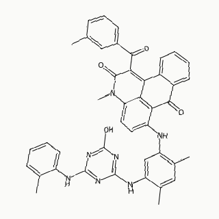 Cc1cccc(C(=O)c2c3c4c(c(Nc5cc(Nc6nc(O)nc(Nc7ccccc7C)n6)c(C)cc5C)ccc4n(C)c2=O)C(=O)c2ccccc2-3)c1